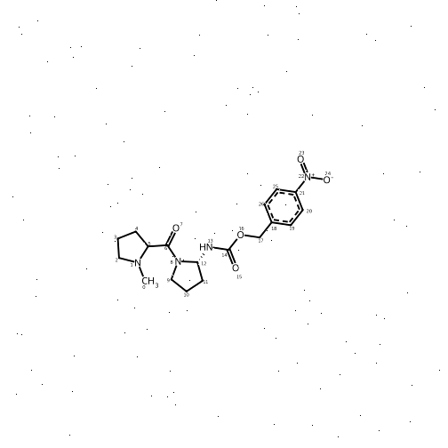 CN1CCCC1C(=O)N1CCC[C@H]1NC(=O)OCc1ccc([N+](=O)[O-])cc1